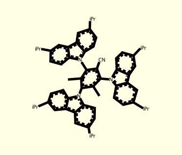 Cc1c(-n2c3ccc(C(C)C)cc3c3cc(C(C)C)ccc32)c(C)c(-n2c3ccc(C(C)C)cc3c3cc(C(C)C)ccc32)c(C#N)c1-n1c2ccc(C(C)C)cc2c2cc(C(C)C)ccc21